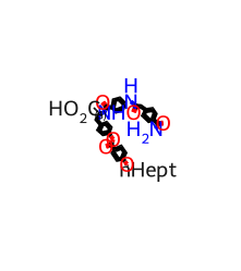 CCCCCCCOc1ccc(C(=O)Oc2ccc(C[C@H](NC(=O)c3ccc(NC(=O)Cc4ccc(C(N)=O)cc4)cc3)C(=O)O)cc2)cc1